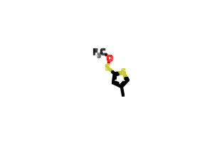 Cc1csc(SOC(F)(F)F)c1